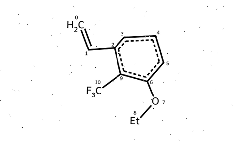 C=Cc1cccc(OCC)c1C(F)(F)F